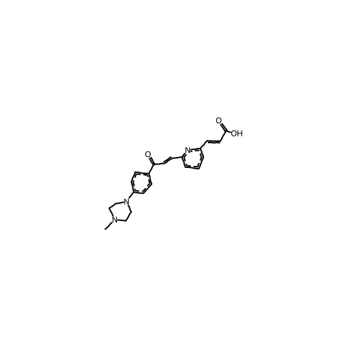 CN1CCN(c2ccc(C(=O)C=Cc3cccc(C=CC(=O)O)n3)cc2)CC1